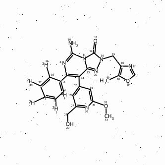 [2H]c1c([2H])c([2H])c(-c2nc(N)n3c(=O)n(Cc4ncoc4C)nc3c2-c2cc(CO)nc(OC)c2)c([2H])c1[2H]